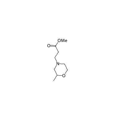 COC(=O)CCN1CCOC(C)C1